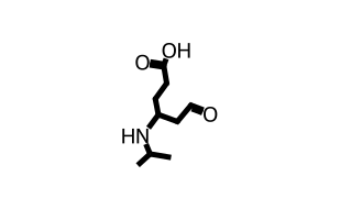 CC(C)NC(CC=O)CCC(=O)O